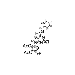 CC(=O)O[C@@H]1[C@H](OC(C)=O)[C@@H](CF)O[C@H]1n1cnc2c(NOCc3ccccc3)nc(Cl)nc21